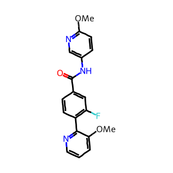 COc1ccc(NC(=O)c2ccc(-c3ncccc3OC)c(F)c2)cn1